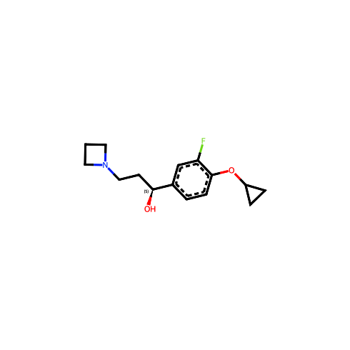 O[C@@H](CCN1CCC1)c1ccc(OC2CC2)c(F)c1